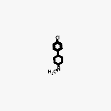 C=NC1CCC(c2ccc(Cl)cc2)CC1